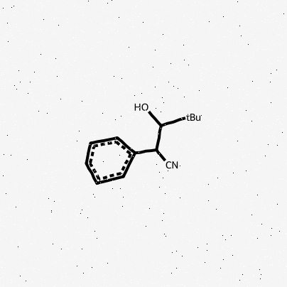 CC(C)(C)C(O)C(C#N)c1ccccc1